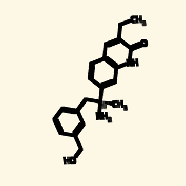 CCc1cc2ccc([C@@](C)(N)Cc3cccc(CO)c3)cc2[nH]c1=O